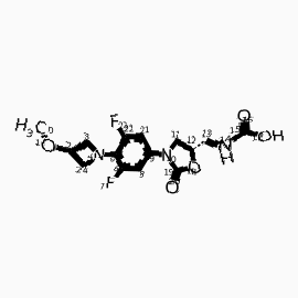 COC1CN(c2c(F)cc(N3C[C@H](CNC(=O)O)OC3=O)cc2F)C1